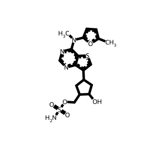 Cc1ccc(N(C)c2ncnc3c(C4CC(O)C(COS(N)(=O)=O)C4)csc23)o1